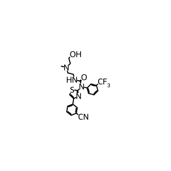 CN(CCO)CCNC(=O)N(c1cccc(C(F)(F)F)c1)c1nc(-c2cccc(C#N)c2)cs1